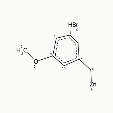 Br.COc1cccc([CH2][Zn])c1